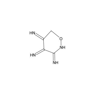 N=C1CONC(=N)C1=N